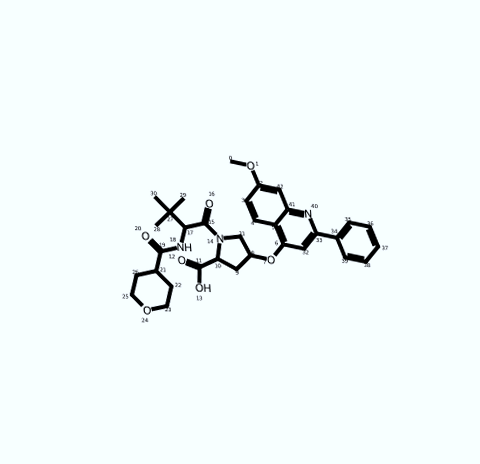 COc1ccc2c(OC3CC(C(=O)O)N(C(=O)C(NC(=O)C4CCOCC4)C(C)(C)C)C3)cc(-c3ccccc3)nc2c1